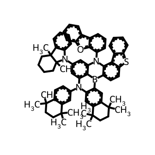 CC1(C)CCC(C)(C)c2cc(N3c4cc5c(cc4B4c6ccc7sc8ccccc8c7c6N(c6cccc7c6oc6ccccc67)c6cc(N7c8ccccc8C8(C)CCCCC78C)cc3c64)C(C)(C)CCC5(C)C)ccc21